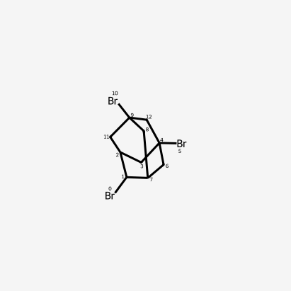 BrC1C2CC3(Br)CC1CC(Br)(C2)C3